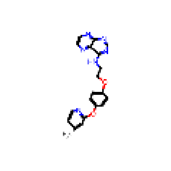 FC(F)(F)c1ccnc(Oc2ccc(OCCNc3ncnc4nccnc34)cc2)c1